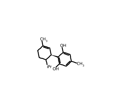 CC1=C[C@@H](c2c(O)cc(C)cc2O)C(C(C)C)CC1